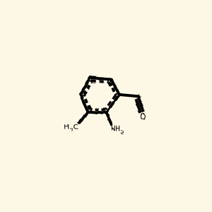 Cc1cccc([C]=O)c1N